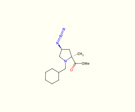 COC(=O)[C@]1(C)C[C@H](N=[N+]=[N-])CN1CC1CCCCC1